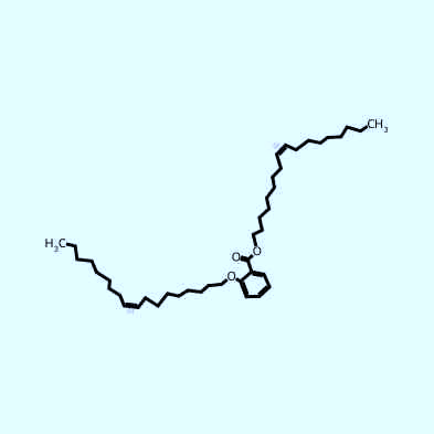 CCCCCCCC/C=C\CCCCCCCCOC(=O)c1ccccc1OCCCCCCCC/C=C\CCCCCCCC